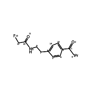 CC(C)C(=O)c1ccc(CCNC(=O)CF)cc1